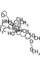 COCCOc1cc(CC(C[C@@](O)(CC[C@H](C(=O)NCC2CCCO2)C(C)C)NC(=O)OC(C)(C)C)C(C)C)ccc1OC